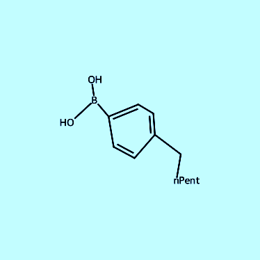 CCCCCCc1ccc(B(O)O)cc1